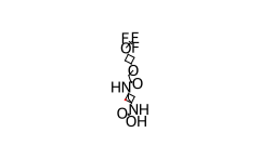 O=C(O)NC12CC(NC(=O)CO[C@H]3C[C@H](OC(F)(F)F)C3)(C1)C2